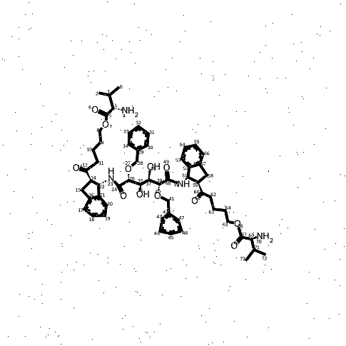 CC(C)[C@H](N)C(=O)OCCCCC(=O)[C@@H]1Cc2ccccc2[C@H]1NC(=O)[C@H](OCc1ccccc1)[C@H](O)[C@@H](O)[C@@H](OCc1ccccc1)C(=O)N[C@@H]1c2ccccc2C[C@H]1C(=O)CCCCOC(=O)[C@@H](N)C(C)C